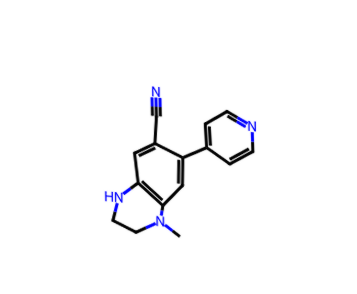 CN1CCNc2cc(C#N)c(-c3ccncc3)cc21